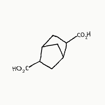 O=C(O)C1CC2CC1CC2C(=O)O